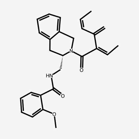 C=C(/C=C\C)/C(=C\C)C(=O)N1Cc2ccccc2C[C@H]1CNC(=O)c1ccccc1OC